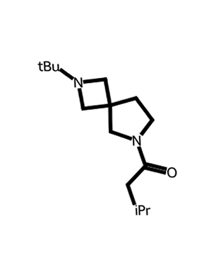 CC(C)CC(=O)N1CCC2(C1)CN(C(C)(C)C)C2